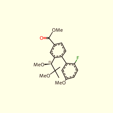 COC(=O)c1ccc(-c2cc(OC)ccc2F)c([C@H](OC)C(C)(C)OC)c1